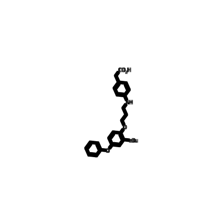 CCCCc1cc(Oc2ccccc2)ccc1OCCCNc1ccc(CC(=O)O)cc1